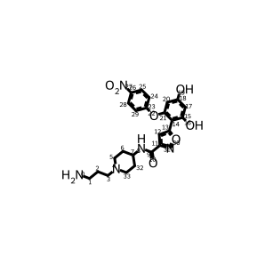 NCCCN1CCC(NC(=O)c2cc(-c3c(O)cc(O)cc3Oc3ccc([N+](=O)[O-])cc3)on2)CC1